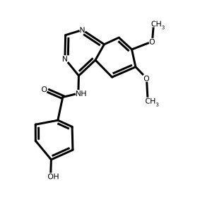 COc1cc2ncnc(NC(=O)c3ccc(O)cc3)c2cc1OC